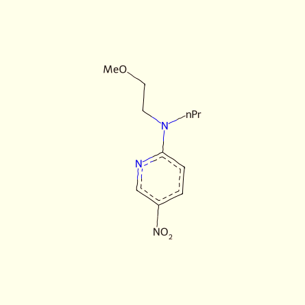 CCCN(CCOC)c1ccc([N+](=O)[O-])cn1